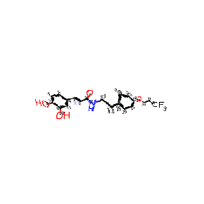 O=C(/C=C/c1ccc(O)c(O)c1)NCCc1ccc(OCCC(F)(F)F)cc1